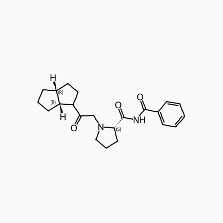 O=C(NC(=O)[C@@H]1CCCN1CC(=O)C1CC[C@H]2CCC[C@@H]12)c1ccccc1